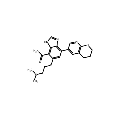 CN(C)CCOc1cc(-c2cnc3c(c2)CCCO3)c2nc[nH]c2c1C(N)=O